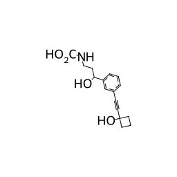 O=C(O)NCCC(O)c1cccc(C#CC2(O)CCC2)c1